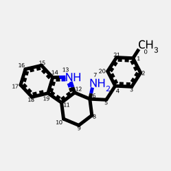 Cc1ccc(CC2(N)CCCc3c2[nH]c2ccccc32)cc1